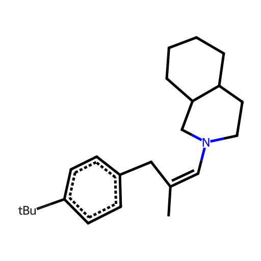 CC(=CN1CCC2CCCCC2C1)Cc1ccc(C(C)(C)C)cc1